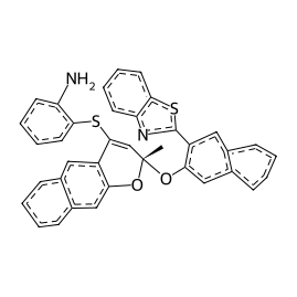 C[C@]1(Oc2cc3ccccc3cc2-c2nc3ccccc3s2)C=C(Sc2ccccc2N)c2cc3ccccc3cc2O1